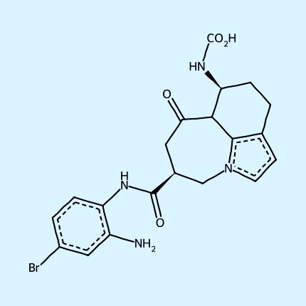 Nc1cc(Br)ccc1NC(=O)[C@H]1CC(=O)C2c3c(ccn3C1)CC[C@@H]2NC(=O)O